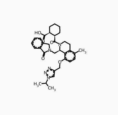 Cc1ccc(OCc2cn(C(C)C)nn2)c2c1CCN(C(=O)[C@@H]1CCCC[C@@H]1C(=O)O)[C@@H]2CN1Cc2ccccc2C1=O